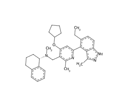 CCc1ccc2[nH]nc(C)c2c1-c1cc(OC2CCCC2)c(CN(C)[C@H]2CCCc3ccccc32)c(C)n1